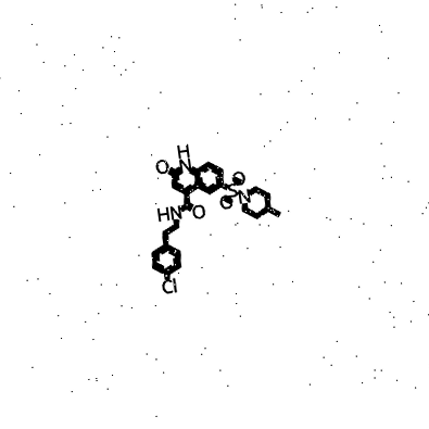 CC1CCN(S(=O)(=O)c2ccc3[nH]c(=O)cc(C(=O)NCCc4ccc(Cl)cc4)c3c2)CC1